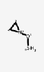 [SiH3]ON1CC1